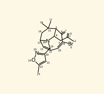 C=C(C)CC1C2C(=C)/C(Br)=C\C=C/C(CC2(C)C)N1Cc1cc(C)on1